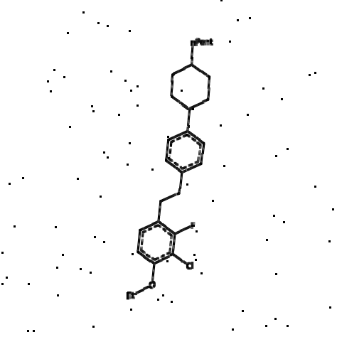 CCCCCC1CCC(c2ccc(CCc3ccc(OCC)c(Cl)c3F)cc2)CC1